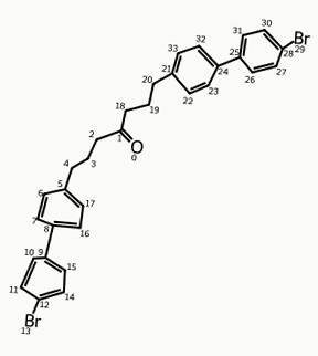 O=C(CCCc1ccc(-c2ccc(Br)cc2)cc1)CCCc1ccc(-c2ccc(Br)cc2)cc1